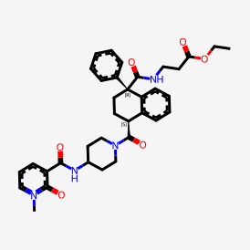 CCOC(=O)CCNC(=O)[C@@]1(c2ccccc2)CC[C@H](C(=O)N2CCC(NC(=O)c3cccn(C)c3=O)CC2)c2ccccc21